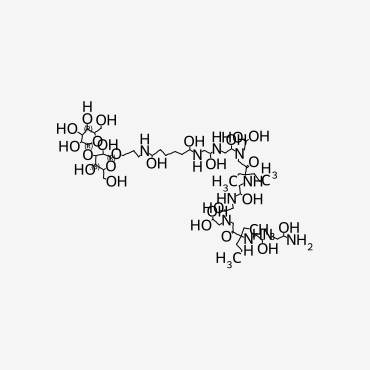 CCCC(CC)(NCC(O)NCC(N)O)C(=O)CN(CC(O)O)C(O)CNC(O)CNC(CC)(CCC)C(=O)CN(CC(O)O)C(O)CNC(O)CNC(O)CCCCC(O)NCCCO[C@@H]1OC(CO)[C@H](O)C(O[C@H]2OC(CO)[C@H](O)C(O)C2O)C1O